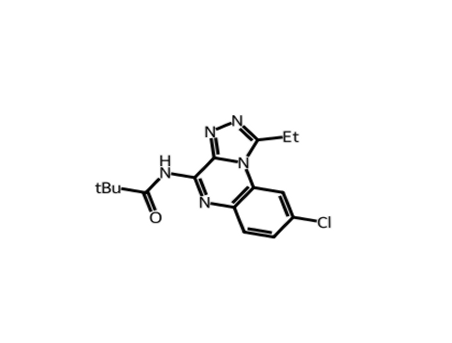 CCc1nnc2c(NC(=O)C(C)(C)C)nc3ccc(Cl)cc3n12